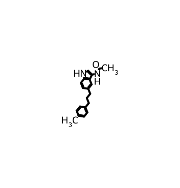 CC(=O)Nc1c[nH]c2ccc(CCCc3ccc(C)cc3)cc12